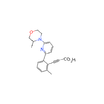 Cc1cccc(-c2cccc(N3CCOCC3C)n2)c1C#CC(=O)O